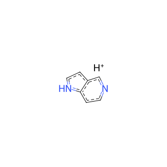 [H+].c1cc2[nH]ccc2cn1